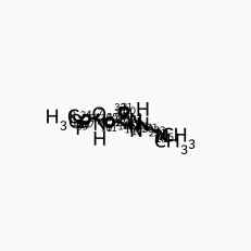 COc1ccc(C(=O)Nc2ccc(C3Cc4cnc(NCCCCN(C)C)nc4-c4ccccc43)cc2)cc1F